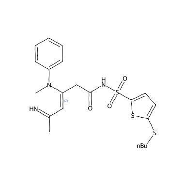 CCCCSc1ccc(S(=O)(=O)NC(=O)C/C(=C/C(C)=N)N(C)c2ccccc2)s1